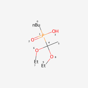 CCCCP(=O)(O)C(C)(OCC)OCC